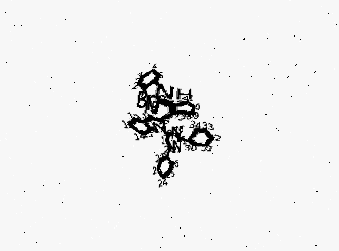 Brc1ccccc1Nc1nc2c3ccccc3n(-c3cc(-c4ccccc4)nc(-c4ccccc4)n3)c2c2ccccc12